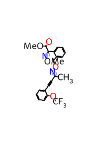 CO/N=C(/C(=O)OC)c1ccccc1CO/N=C(\C)C#Cc1ccccc1OC(F)(F)F